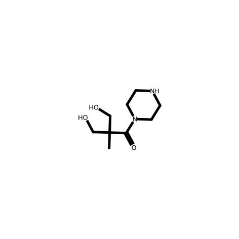 CC(CO)(CO)C(=O)N1CCNCC1